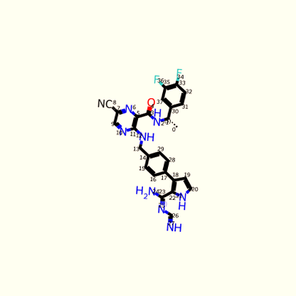 C[C@H](NC(=O)c1nc(C#N)cnc1NCc1ccc(-c2cc[nH]c2/C(N)=N\C=N)cc1)c1ccc(F)c(F)c1